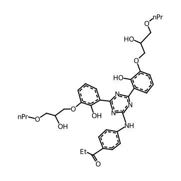 CCCOCC(O)COc1cccc(-c2nc(Nc3ccc(C(=O)CC)cc3)nc(-c3cccc(OCC(O)COCCC)c3O)n2)c1O